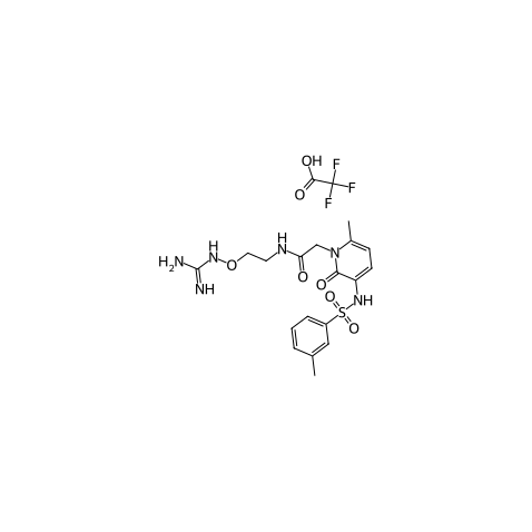 Cc1cccc(S(=O)(=O)Nc2ccc(C)n(CC(=O)NCCONC(=N)N)c2=O)c1.O=C(O)C(F)(F)F